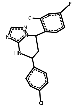 Fc1ccc(C2CC(c3ccc(Cl)cc3)Nc3ncnn32)c(Cl)c1